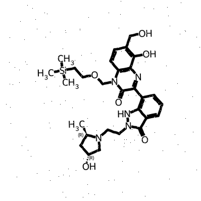 C[C@@H]1C[C@@H](O)CN1CCn1[nH]c2c(-c3nc4c(O)c(CO)ccc4n(COCC[Si](C)(C)C)c3=O)cccc2c1=O